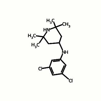 CC1(C)CC(Nc2cc(Cl)cc(Cl)c2)CC(C)(C)N1